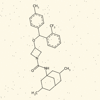 Cc1ccc(C(OC2CN(C(=O)NC34CC(C)CC(CC(C)C3)C4)C2)c2ccccc2C(F)(F)F)cc1